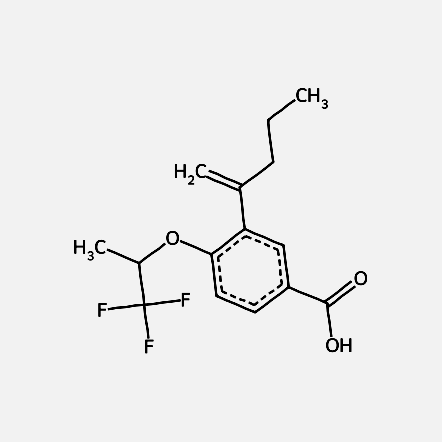 C=C(CCC)c1cc(C(=O)O)ccc1OC(C)C(F)(F)F